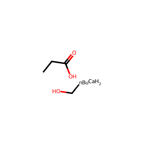 CCC(=O)O.CCCCCO.[CaH2]